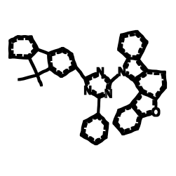 CC1(C)c2ccccc2-c2ccc(-c3nc(-c4ccccc4)nc(-n4c5ccccc5c5ccc6oc7ccccc7c6c54)n3)cc21